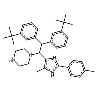 Cc1ccc(-c2nc(C(C(c3cccc(C(C)(C)C)c3)c3cccc(C(C)(C)C)c3)N3CCNCC3)c(C)[nH]2)cc1